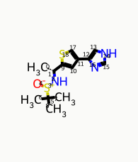 C[C@@H](N[S+]([O-])C(C)(C)C)c1cc(-c2c[nH]cn2)cs1